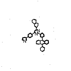 C1=CCCC(C2=c3ccccc3=C(c3cccc(-c4nc(C5=CC6=C(C=CCC6)CC5)cc(-c5ccc(-c6cccnc6)cc5)n4)c3)C3C=CC=CC23)=C1